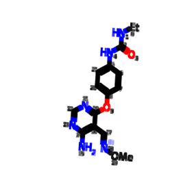 CCNC(=O)Nc1ccc(Oc2ncnc(N)c2/C=N/OC)cc1